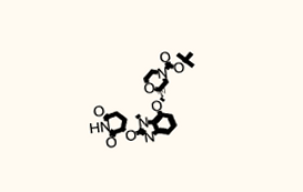 Cn1c(OC2CCC(=O)NC2=O)nc2cccc(OC[C@H]3CN(C(=O)OC(C)(C)C)CCO3)c21